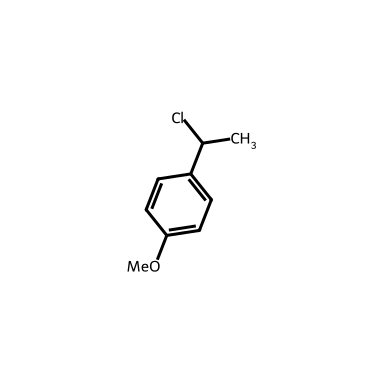 COc1ccc(C(C)Cl)cc1